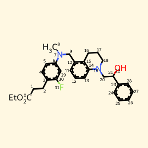 CCOC(=O)CCc1ccc(N(C)Cc2cccc3c2CCCN3CC(O)c2ccccc2)cc1F